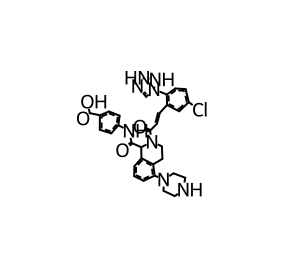 O=C(O)c1ccc(NC(=O)C2c3cccc(N4CCNCC4)c3CCN2C(=O)/C=C/c2cc(Cl)ccc2N2C=NNN2)cc1